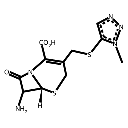 Cn1nncc1SCC1=C(C(=O)O)N2C(=O)C(N)[C@H]2SC1